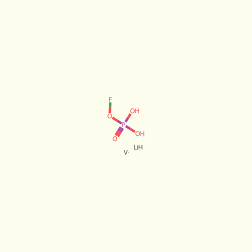 O=P(O)(O)OF.[LiH].[V]